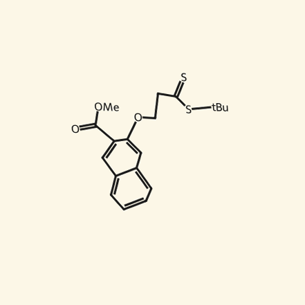 COC(=O)c1cc2ccccc2cc1OCCC(=S)SC(C)(C)C